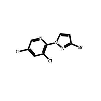 Clc1cnc(-n2ccc(Br)n2)c(Cl)c1